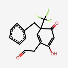 O=C[CH]C1=CC(Cc2ccccc2)(C(F)(F)F)C(=O)C=C1O